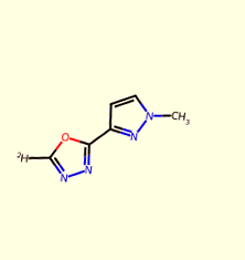 [2H]c1nnc(-c2ccn(C)n2)o1